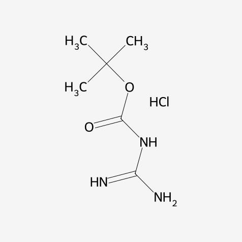 CC(C)(C)OC(=O)NC(=N)N.Cl